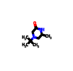 CC1CN(C(C)(C)C)CC(=O)N1